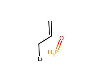 O=[PH3].[Li][CH2]C=C